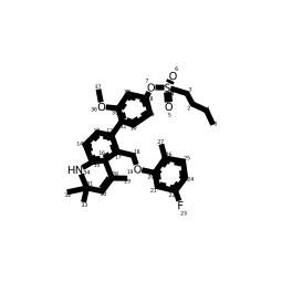 CCCCS(=O)(=O)Oc1ccc(-c2ccc3c(c2COc2cc(F)ccc2C)C(C)=CC(C)(C)N3)c(OC)c1